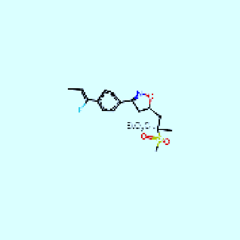 C/C=C(\F)c1ccc(C2=NO[C@@H](C[C@](C)(C(=O)OCC)S(C)(=O)=O)C2)cc1